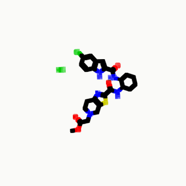 COC(=O)CN1CCc2nc(C(=O)N[C@@H]3CCCC[C@@H]3NC(=O)c3cc4cc(Cl)ccc4[nH]3)sc2C1.Cl